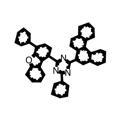 c1ccc(-c2nc(-c3cc4ccccc4c4c3ccc3ccccc34)nc(-c3ccc(-c4ccccc4)c4oc5ccccc5c34)n2)cc1